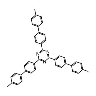 Cc1ccc(-c2ccc(-c3nc(-c4ccc(-c5ccc(C)cc5)cc4)nc(-c4ccc(-c5ccc(C)cc5)cc4)n3)cc2)cc1